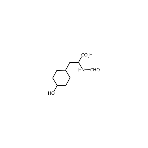 O=CNC(CC1CCC(O)CC1)C(=O)O